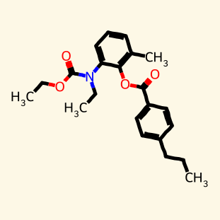 CCCc1ccc(C(=O)Oc2c(C)cccc2N(CC)C(=O)OCC)cc1